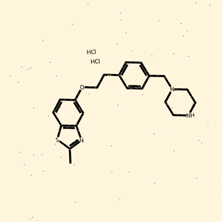 Cc1nc2cc(OCCc3ccc(CN4CCNCC4)cc3)ccc2s1.Cl.Cl